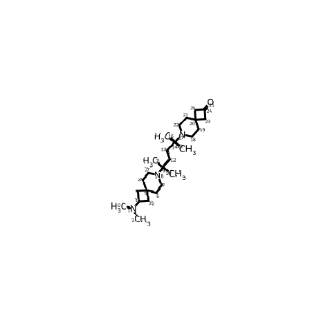 CN(C)C1CC2(CCN(C(C)(C)CCC(C)(C)N3CCC4(CC3)CC(=O)C4)CC2)C1